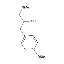 CNCC(O)Cc1ccc(OC)cc1